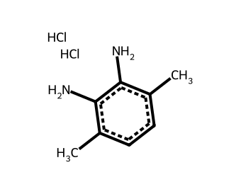 Cc1ccc(C)c(N)c1N.Cl.Cl